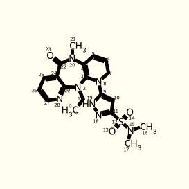 CCN1C2=C(C=CCN2c2cc(S(=O)(=O)N(C)C)n[nH]2)N(C)C(=O)c2cccnc21